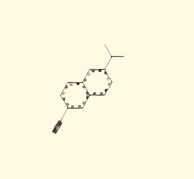 C#Cc1ccc2cc(C(C)C(=O)O)ccc2c1